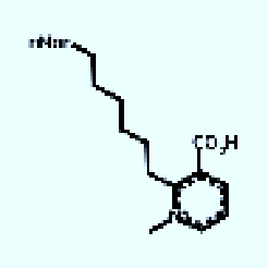 CCCCCCCCCCCCCCCc1c(C(=O)O)ccc[n+]1C